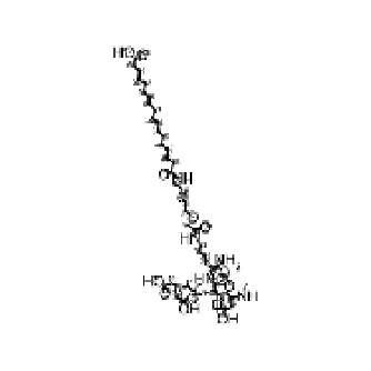 CN[C@@H](CC(=O)O)C(=O)N[C@@H](CCCCN(CC(=O)O)CC(=O)O)C(=O)N[C@@H](CCCCNC(=O)COCCOCCNC(=O)CCCCCCCCCCCCCCCCC(=O)O)C(N)=O